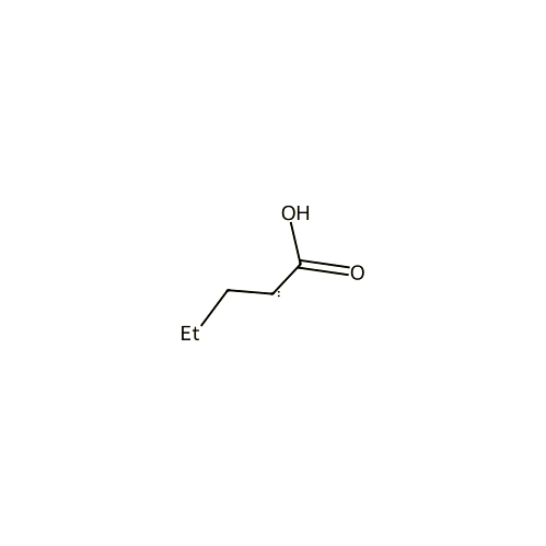 CCC[C]C(=O)O